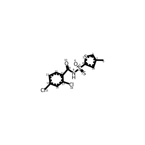 Cc1csc(S(=O)(=S)NC(=O)c2ccc(Cl)cc2Cl)c1